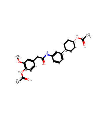 COc1cc(CC(=O)Nc2cccc([C@H]3CC[C@@H](OC(C)=O)CC3)c2)ccc1OC(C)=O